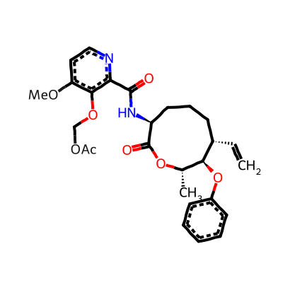 C=C[C@H]1CCC[C@H](NC(=O)c2nccc(OC)c2OCOC(C)=O)C(=O)O[C@@H](C)[C@@H]1Oc1ccccc1